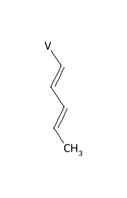 CC=CC=[CH][V]